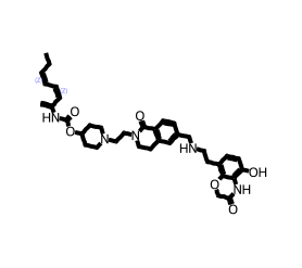 C=C(/C=C\C=C/CC)NC(=O)OC1CCN(CCN2CCc3cc(CNCCc4ccc(O)c5c4OCC(=O)N5)ccc3C2=O)CC1